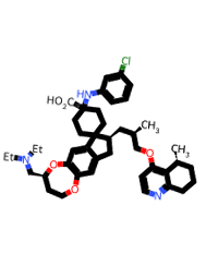 CCN(CC)C[C@@H]1CCOc2cc3c(cc2O1)C1(CCC(Nc2cccc(Cl)c2)(C(=O)O)CC1)[C@@H](C[C@@H](C)COc1ccnc2c1[C@H](C)CCC2)C3